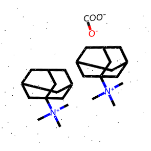 C[N+](C)(C)C12CC3CC(CC(C3)C1)C2.C[N+](C)(C)C12CC3CC(CC(C3)C1)C2.O=C([O-])[O-]